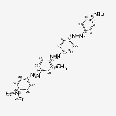 CCCCc1ccc(N=Nc2ccc(N=Nc3ccc(N=Nc4ccc(N(CC)CC)cc4)cc3C)cc2)cc1